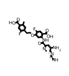 C\N=C(/C=C(N)\C=N\N=N)C(=O)Nc1cc(OCCc2cc(C)c(C(=O)O)cc2F)c(F)cc1C(=O)O